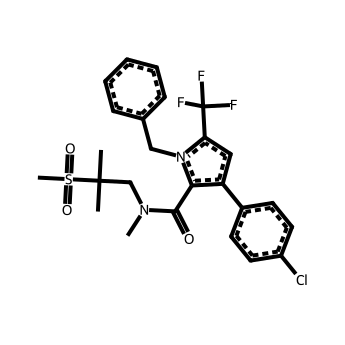 CN(CC(C)(C)S(C)(=O)=O)C(=O)c1c(-c2ccc(Cl)cc2)cc(C(F)(F)F)n1Cc1ccccc1